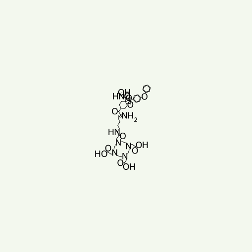 N[C@@H](CCCCNC(=O)CN1CCN(CC(=O)O)CCN(CC(=O)O)CCN(CC(=O)O)CC1)C(=O)C1CCC(C(=O)NO)(S(=O)(=O)c2ccc(Oc3ccccc3)cc2)CC1